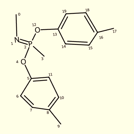 CN=P(C)(Oc1ccc(C)cc1)Oc1ccc(C)cc1